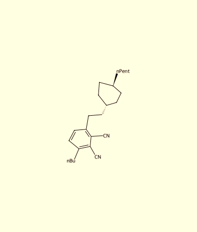 CCCCC[C@H]1CC[C@H](CCc2ccc(CCCC)c(C#N)c2C#N)CC1